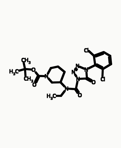 CCN(C(=O)n1nnn(-c2c(Cl)cccc2Cl)c1=O)C1CCCN(C(=O)OC(C)(C)C)C1